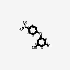 O=[N+]([O-])c1ccc(Oc2cc(Cl)cc(Cl)c2)cc1